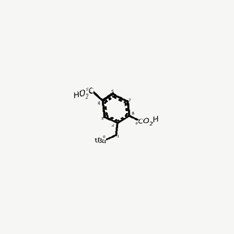 CC(C)(C)Cc1cc(C(=O)O)ccc1C(=O)O